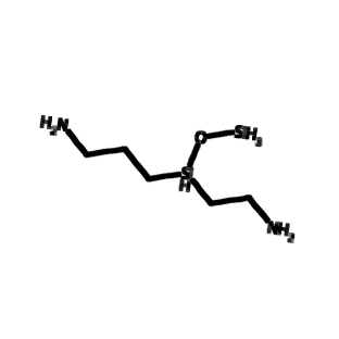 NCCC[SiH](CCN)O[SiH3]